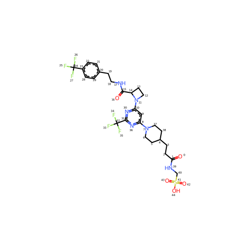 O=C(CCC1CCN(c2cc(N3CCC3C(=O)NCCc3ccc(C(F)(F)F)cc3)nc(C(F)(F)F)n2)CC1)NCS(=O)(=O)O